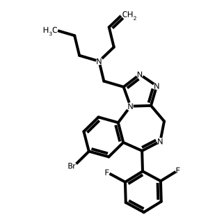 C=CCN(CCC)Cc1nnc2n1-c1ccc(Br)cc1C(c1c(F)cccc1F)=NC2